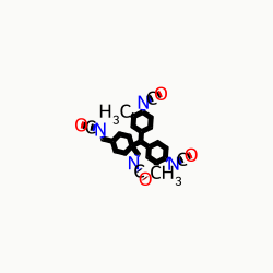 CC1CC(C(C2CCC(N=C=O)C(C)C2)C2(CN=C=O)CCC(CN=C=O)CC2)CCC1N=C=O